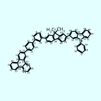 CC1(C)c2cc(-c3cccc(-c4ccc(-c5ccc6c7ccccc7c7nccnc7c6c5)cc4)c3)ccc2-c2ccc(-c3ccc4c5ccccc5n(-c5ccccc5)c4c3)cc21